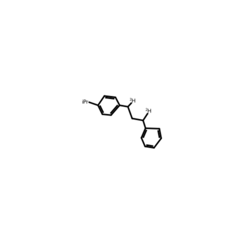 [2H]C(CC([2H])c1ccc(C(C)C)cc1)c1ccccc1